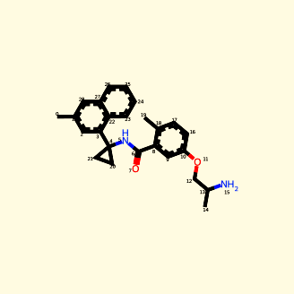 Cc1cc(C2(NC(=O)c3cc(OCC(C)N)ccc3C)CC2)c2ccccc2c1